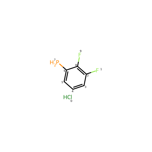 Cl.Fc1cccc(P)c1F